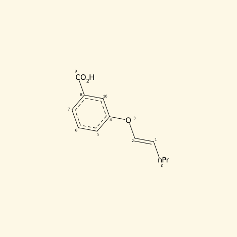 CCC/C=C/Oc1cccc(C(=O)O)c1